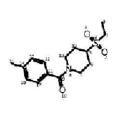 CCS(=O)(=O)C1CCN(C(=O)c2ccc(C)cc2)CC1